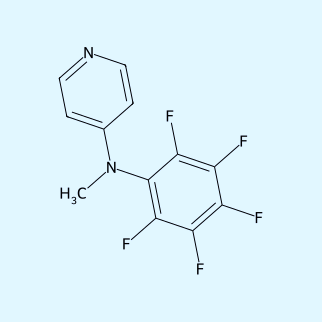 CN(c1ccncc1)c1c(F)c(F)c(F)c(F)c1F